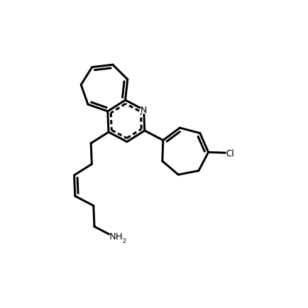 NCC/C=C\CCc1cc(C2=CC=C(Cl)CCC2)nc2c1=CCC=CC=2